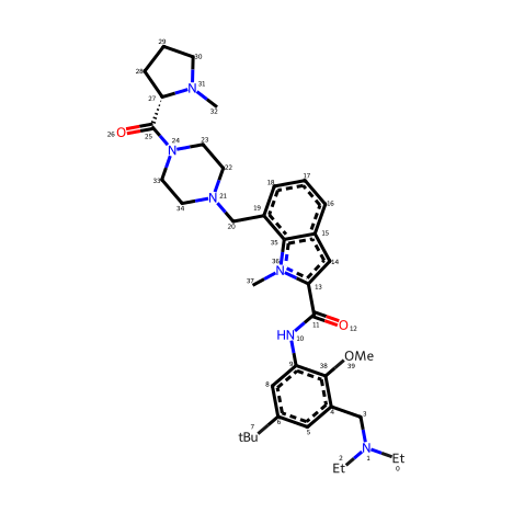 CCN(CC)Cc1cc(C(C)(C)C)cc(NC(=O)c2cc3cccc(CN4CCN(C(=O)[C@@H]5CCCN5C)CC4)c3n2C)c1OC